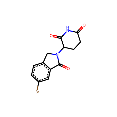 O=C1CCC(N2Cc3ccc(Br)cc3C2=O)C(=O)N1